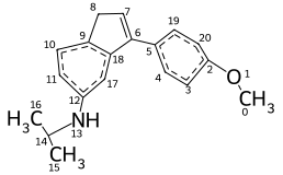 COc1ccc(C2=CCc3ccc(NC(C)C)cc32)cc1